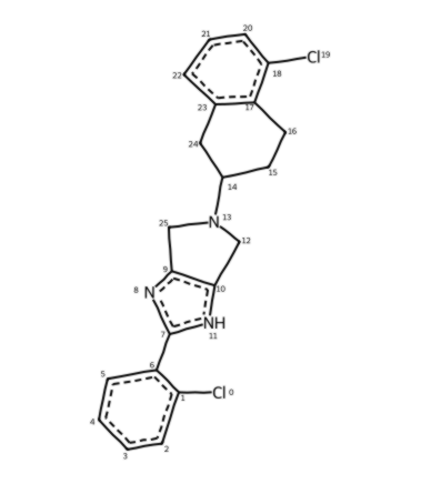 Clc1ccccc1-c1nc2c([nH]1)CN(C1CCc3c(Cl)cccc3C1)C2